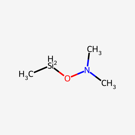 C[SiH2]ON(C)C